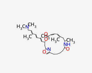 CC(/C=C/C(C)=C/C1Cc2nc(co2)CCCCC(=O)NC(C)C/C(C)=C/C=C\C(=O)O1)=C\CN(C)C